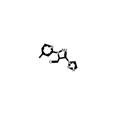 Cc1ccnc(N2NC=C(n3ccnn3)C2C=O)c1